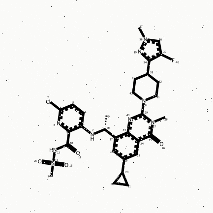 C[C@@H](Nc1ccc(Cl)nc1C(=O)NS(C)(=O)=O)c1cc(C2CC2)cc2c(=O)n(C)c(N3CCC(c4nn(C)cc4F)CC3)nc12